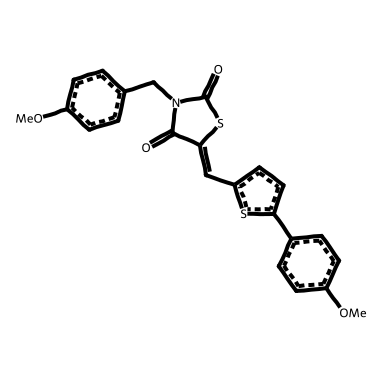 COc1ccc(CN2C(=O)S/C(=C\c3ccc(-c4ccc(OC)cc4)s3)C2=O)cc1